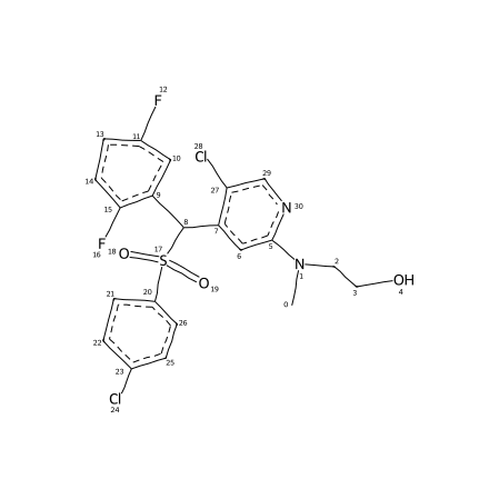 CN(CCO)c1cc(C(c2cc(F)ccc2F)S(=O)(=O)c2ccc(Cl)cc2)c(Cl)cn1